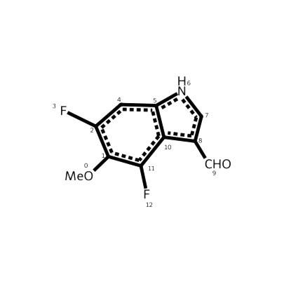 COc1c(F)cc2[nH]cc(C=O)c2c1F